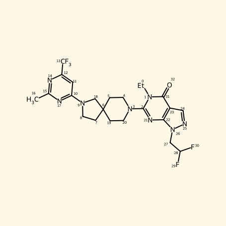 CCn1c(N2CCC3(CCN(c4cc(C(F)(F)F)nc(C)n4)C3)CC2)nc2c(cnn2CC(F)F)c1=O